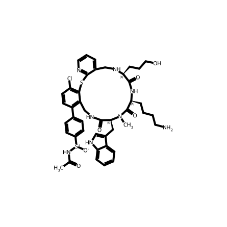 CC(=O)N[S+]([O-])c1ccc(-c2ccc(Cl)c3c2CNC(=O)[C@H](Cc2c[nH]c4ccccc24)N(C)C(=O)[C@H](CCCCN)NC(=O)[C@H](CCCO)NCc2cccnc2S3)cc1